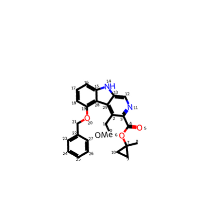 COCc1c(C(=O)OC2(C)CC2)ncc2[nH]c3cccc(OCc4ccccc4)c3c12